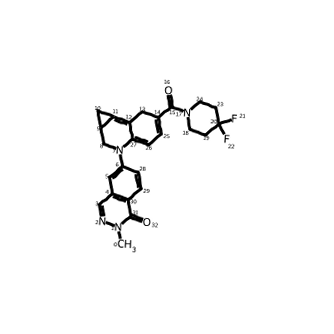 Cn1ncc2cc(N3CC4CC4=C4CC(C(=O)N5CCC(F)(F)CC5)=CC=C43)ccc2c1=O